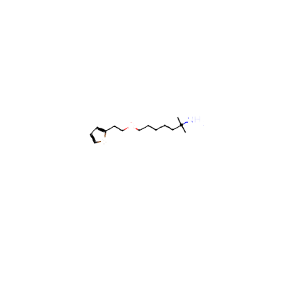 CC(C)(N)CCCCCOCCc1cccs1